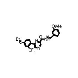 CCOc1ccc(-c2cncc(C(=O)N/N=C/c3cccc(OC)c3)n2)c(C(F)(F)F)c1